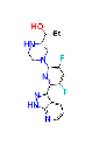 CC[C@@H](O)[C@@H]1CN(c2nc(-c3n[nH]c4ncccc34)c(F)cc2F)CCN1